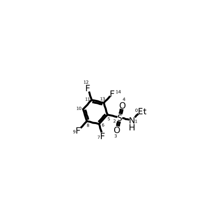 CCNS(=O)(=O)c1c(F)c(F)cc(F)c1F